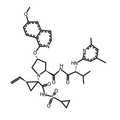 C=C[C@@H]1C[C@@]1(C(=O)NS(=O)(=O)C1CC1)N1C[C@H](Oc2nccc3cc(OC)ccc23)C[C@H]1C(=O)NC(=O)[C@H](Nc1cc(C)cc(C)n1)C(C)C